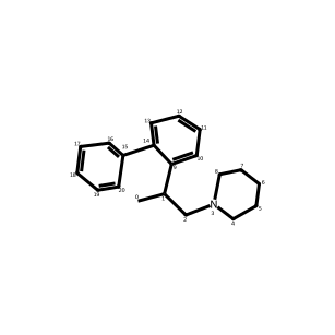 CC(CN1CCCCC1)c1ccccc1-c1ccccc1